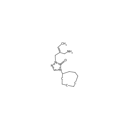 C/C=C(\CN)Cn1ncn(C2CCCCCCCC2)c1=O